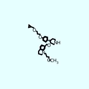 COCCCN1CCCc2ccc(COC3CNCC[C@@H]3c3ccc(OCCCOCC4CC4)cc3)cc21